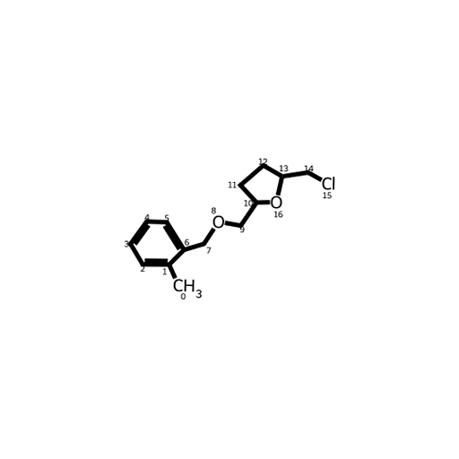 Cc1ccccc1COCC1CCC(CCl)O1